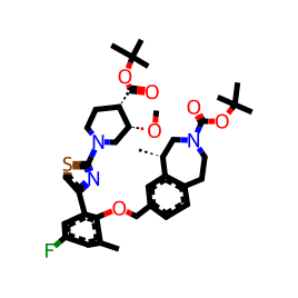 CO[C@@H]1CN(c2nc(-c3cc(F)cc(C)c3OCc3ccc4c(c3)[C@H](C)CN(C(=O)OC(C)(C)C)CC4)cs2)CC[C@@H]1C(=O)OC(C)(C)C